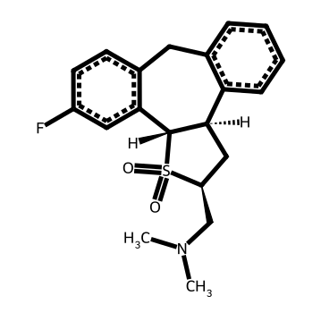 CN(C)C[C@@H]1C[C@@H]2c3ccccc3Cc3ccc(F)cc3[C@H]2S1(=O)=O